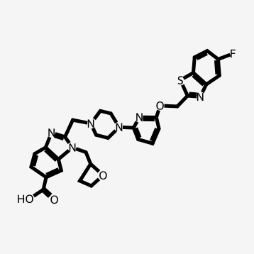 O=C(O)c1ccc2nc(CN3CCN(c4cccc(OCc5nc6cc(F)ccc6s5)n4)CC3)n(CC3CCO3)c2c1